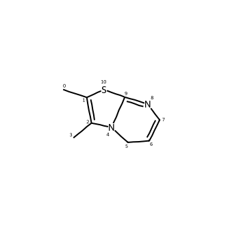 CC1=C(C)N2CC=CN=C2S1